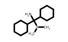 CN(C)C(N)(C1CCCCC1)C1CCCCC1